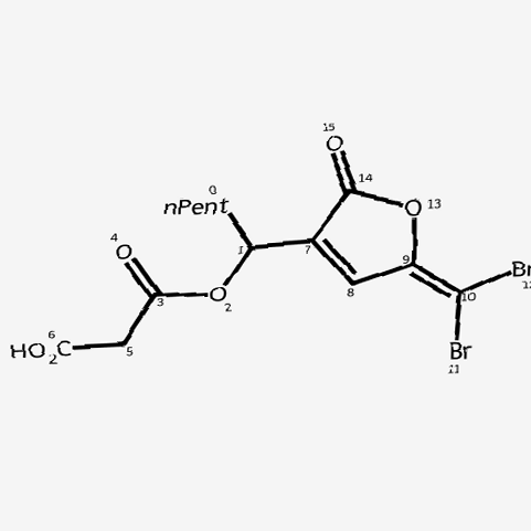 CCCCCC(OC(=O)CC(=O)O)C1=CC(=C(Br)Br)OC1=O